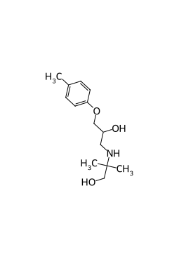 Cc1ccc(OCC(O)CNC(C)(C)CO)cc1